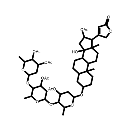 CC(=O)OC1CC(OC2C(C)OC(OC3C(C)OC(OC4CCC5(C)C(CCC6C5CCC5(C)C(C7=CC(=O)OC7)C(OC(C)=O)CC65O)C4)CC3OC(C)=O)CC2OC(C)=O)OC(C)C1OC(C)=O